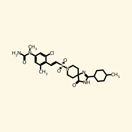 Cc1cc(N(C)C(N)=O)cc(Cl)c1C=CS(=O)(=O)N1CCC2(CC1)N=C(C1CCC(C)CC1)NC2=O